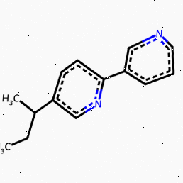 CCC(C)c1ccc(-c2cccnc2)nc1